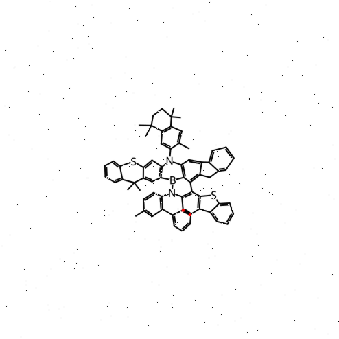 Cc1ccc(N2B3c4cc5c(cc4N(c4cc6c(cc4C)C(C)(C)CCC6(C)C)c4cc6c(c(c43)-c3c2ccc2c3sc3ccccc32)Cc2ccccc2-6)Sc2ccccc2C5(C)C)c(-c2ccccc2)c1